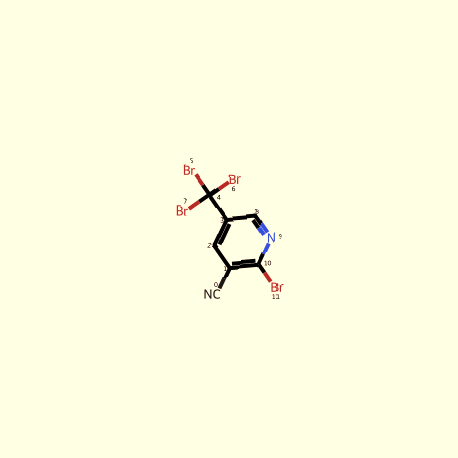 N#Cc1cc(C(Br)(Br)Br)cnc1Br